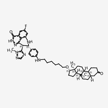 Cn1ncnc1[C@H]1c2n[nH]c(=O)c3cc(F)cc(c23)N[C@@H]1c1ccc(NCCCCCCO[C@H]2CC[C@H]3[C@@H]4CC[C@H]5CC(=O)CC[C@]5(C)[C@H]4CC[C@]23C)cc1